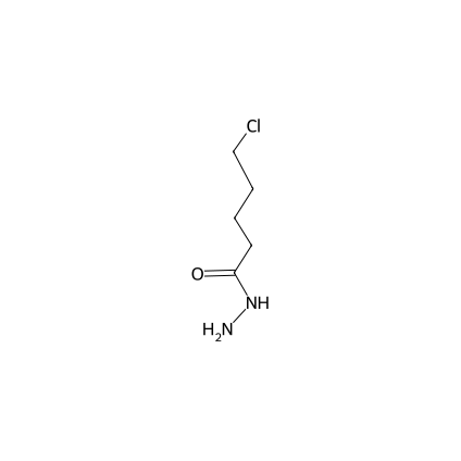 NNC(=O)CCCCCl